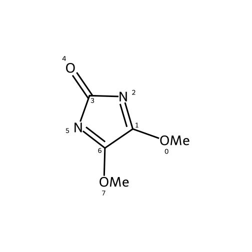 COC1=NC(=O)N=C1OC